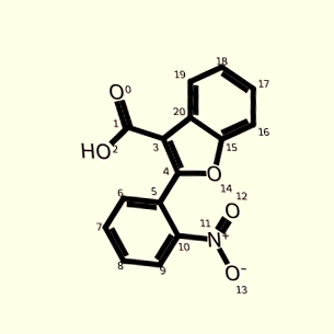 O=C(O)c1c(-c2ccccc2[N+](=O)[O-])oc2ccccc12